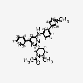 CC(=O)N1C[C@H](c2nc(Nc3cccc(-c4cnn(C)c4)c3)cc(-c3cccnc3)n2)CC[C@@H]1C